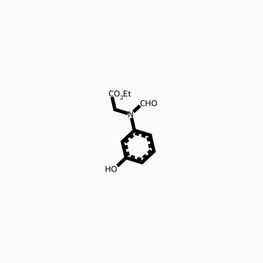 CCOC(=O)CN(C=O)c1cccc(O)c1